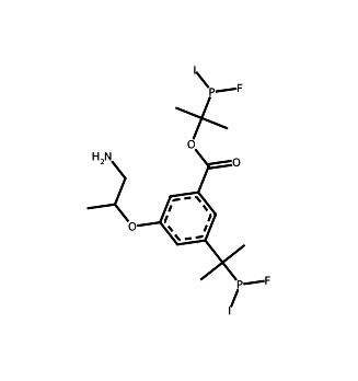 CC(CN)Oc1cc(C(=O)OC(C)(C)P(F)I)cc(C(C)(C)P(F)I)c1